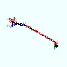 CCCN(OCC)C(=O)C1=Cc2sc(CCC3CCN(C(=O)CCOCCOCCOCCOCCOCCOCCOCCOCCOCCOCCC(=O)Oc4c(F)c(F)cc(F)c4F)CC3)cc2N=C(N)C1